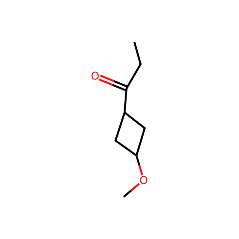 CCC(=O)C1CC(OC)C1